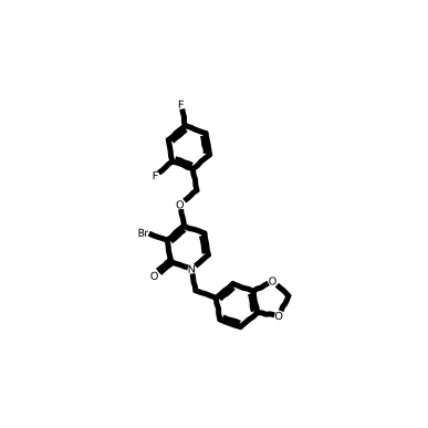 O=c1c(Br)c(OCc2ccc(F)cc2F)ccn1Cc1ccc2c(c1)OCO2